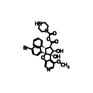 COc1cncc2c1[C@]1(O)[C@H](O)[C@H](C(=O)OC(=O)N3CCNCC3)[C@@H](c3ccccc3)[C@]1(c1ccc(Br)cc1)O2